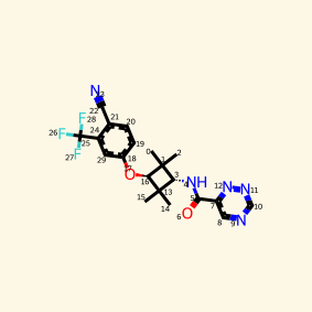 CC1(C)[C@H](NC(=O)c2cncnn2)C(C)(C)[C@H]1Oc1ccc(C#N)c(C(F)(F)F)c1